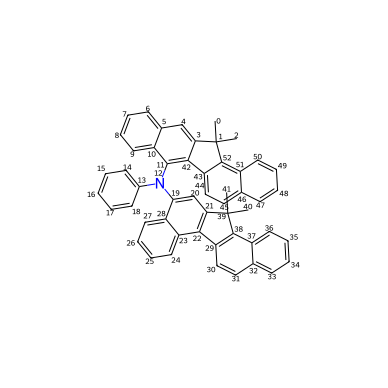 CC1(C)c2cc3ccccc3c(N(c3ccccc3)c3cc4c(c5ccccc35)-c3ccc5ccccc5c3C4(C)C)c2-c2ccc3ccccc3c21